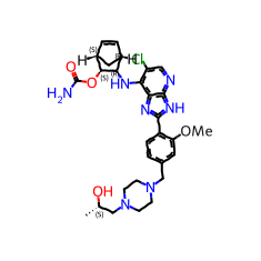 COc1cc(CN2CCN(C[C@H](C)O)CC2)ccc1-c1nc2c(N[C@H]3[C@@H](OC(N)=O)[C@@H]4C=C[C@H]3C4)c(Cl)cnc2[nH]1